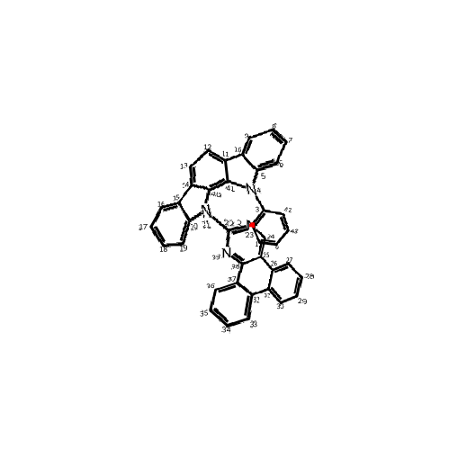 c1ccc(-n2c3ccccc3c3ccc4c5ccccc5n(-c5ncc6c7ccccc7c7ccccc7c6n5)c4c32)cc1